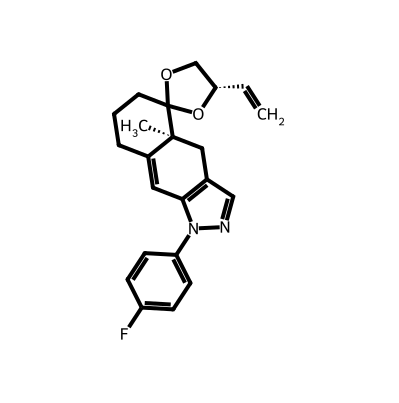 C=C[C@H]1COC2(CCCC3=Cc4c(cnn4-c4ccc(F)cc4)C[C@@]32C)O1